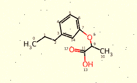 CCCc1cccc(OC(C)C(=O)O)c1